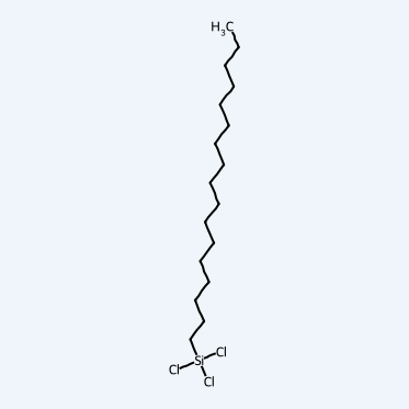 CCCCCCCCCCCCCCCCC[Si](Cl)(Cl)Cl